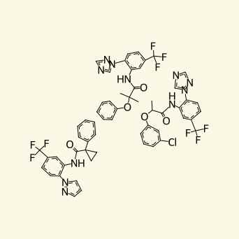 CC(C)(Oc1ccccc1)C(=O)Nc1cc(C(F)(F)F)ccc1-n1cncn1.CC(Oc1cccc(Cl)c1)C(=O)Nc1cc(C(F)(F)F)ccc1-n1cncn1.O=C(Nc1cc(C(F)(F)F)ccc1-n1cccn1)C1(c2ccccc2)CC1